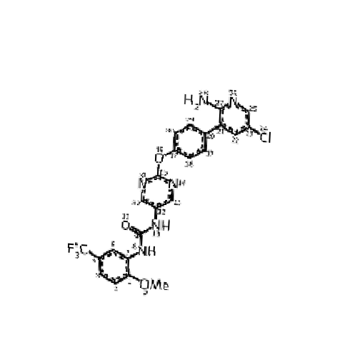 COc1ccc(C(F)(F)F)cc1NC(=O)Nc1cnc(Oc2ccc(-c3cc(Cl)cnc3N)cc2)nc1